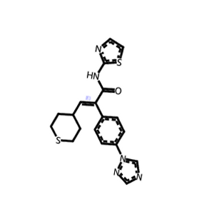 O=C(Nc1nccs1)/C(=C/C1CCSCC1)c1ccc(-n2cncn2)cc1